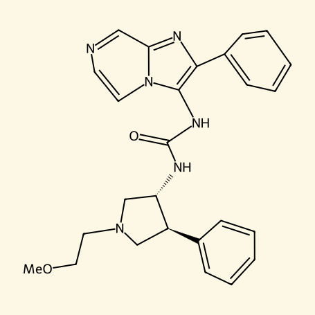 COCCN1C[C@H](NC(=O)Nc2c(-c3ccccc3)nc3cnccn23)[C@@H](c2ccccc2)C1